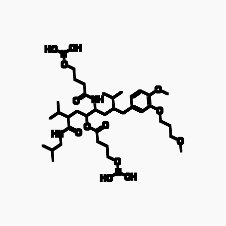 COCCCOc1cc(CC(CC(NC(=O)CCCON(O)O)C(CC(C(=O)NCC(C)C)C(C)C)OC(=O)CCCON(O)O)C(C)C)ccc1OC